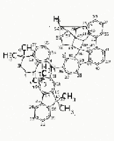 CC1(C)CCC(C)(C)c2c(N(c3ccc4c(c3)C(C)(C)c3ccccc3-4)c3ccc4c(c3)C3(c5c(-c6ccccc6)cccc5-4)C4CC5CC46C4C(CC36)[C@H]54)cccc21